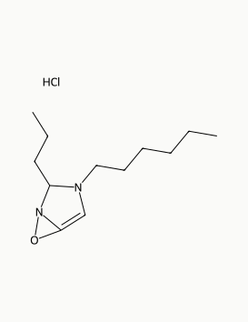 CCCCCCN1C=C2ON2C1CCC.Cl